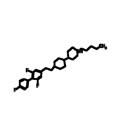 CCCCC[SiH]1CCC(C2CCC(CCc3cc(F)c(-c4ccc(F)cc4)c(F)c3)CC2)CC1